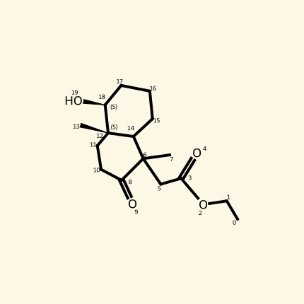 CCOC(=O)CC1(C)C(=O)CC[C@@]2(C)C1CCC[C@@H]2O